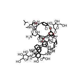 CN[C@H](CC(C)C)C(=O)N[C@H]1C(=O)NC(CC(N)=O)C(=O)N[C@H]2C(=O)N[C@@H]3C(=O)N[C@H](C(=O)N[C@H](C(=O)O)c4cc(O)c(CNC5C(O)[C@@H](O)C(CO)O[C@H]5C)c(O)c4-c4cc3ccc4O)[C@H](O)c3ccc(c(Cl)c3)Oc3cc2cc(c3OC2O[C@H](CO)C(O)C(O)[C@H]2O[C@H]2CC3(NCc4ccc(-c5ccc(C(F)(F)F)cc5)cc4)C2[C@@H](C)[C@H]3O)Oc2ccc(cc2Cl)[C@H]1O